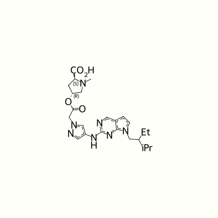 CCC(Cn1ccc2cnc(Nc3cnn(CC(=O)O[C@@H]4C[C@@H](C(=O)O)N(C)C4)c3)nc21)C(C)C